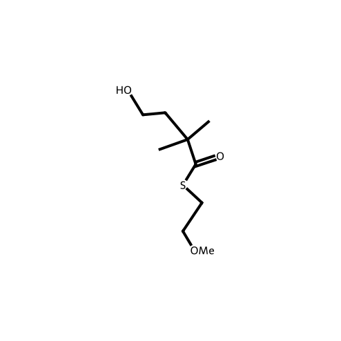 COCCSC(=O)C(C)(C)CCO